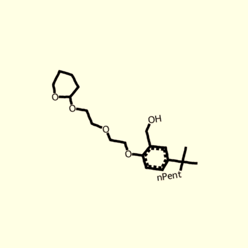 CCCCCC(C)(C)c1ccc(OCCOCCOC2CCCCO2)c(CO)c1